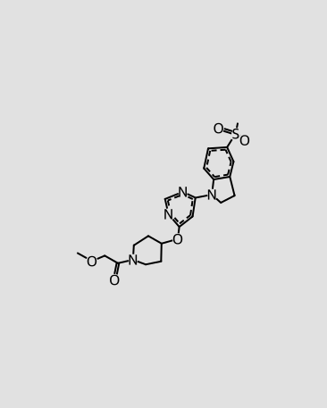 COCC(=O)N1CCC(Oc2cc(N3CCc4cc(S(C)(=O)=O)ccc43)ncn2)CC1